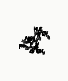 CC(C)N1CC2=NN(C)C(=O)c3cc(F)cc4[nH]c(c2c34)C1